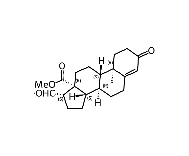 COC(=O)[C@]12CC[C@H]3[C@@H](CCC4=CC(=O)CC[C@@]43C)[C@@H]1CC[C@@H]2[C]=O